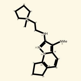 CNc1c(NCC[N+]2(C)CCCC2)nn2c3c(ccc12)CCC3